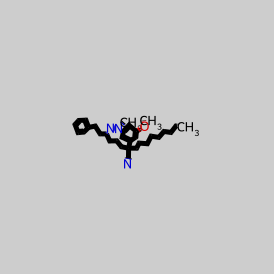 CCCCCCCCCC(C#N)(CCCC(CCc1ccccc1)N=NC)c1cccc(OC)c1